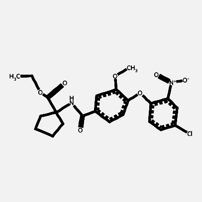 CCOC(=O)C1(NC(=O)c2ccc(Oc3ccc(Cl)cc3[N+](=O)[O-])c(OC)c2)CCCC1